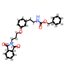 O=C(NCCc1cccc(OCCCN2C(=O)c3ccccc3C2=O)c1)OCc1ccccc1